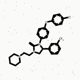 C=C1N(CCN2CCCCC2)CC(c2cccc(C(F)(F)F)c2)N1c1ccc(Oc2ccc(Cl)cc2)cc1